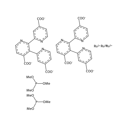 COP(OC)OC.COP(OC)OC.O=C([O-])c1ccnc(-c2nccc(C(=O)[O-])c2-c2cc(C(=O)[O-])ccn2)c1.O=C([O-])c1ccnc(-c2nccc(C(=O)[O-])c2-c2cc(C(=O)[O-])ccn2)c1.[Ru+2].[Ru+2].[Ru+2]